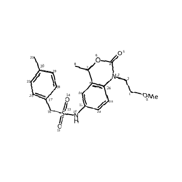 COCCN1C(=O)OC(C)c2cc(NS(=O)(=O)Cc3ccc(C)cc3)ccc21